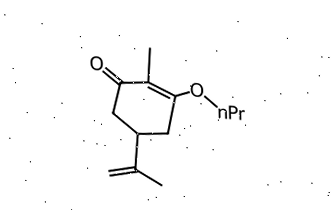 C=C(C)C1CC(=O)C(C)=C(OCCC)C1